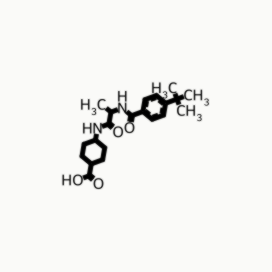 CC(NC(=O)c1ccc(C(C)(C)C)cc1)C(=O)NC1CCC(C(=O)O)CC1